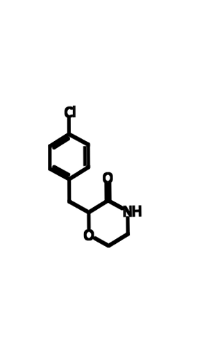 O=C1NCCOC1Cc1ccc(Cl)cc1